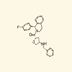 O=C([C@@H]1CC(NCc2ccccc2)CO1)N1CCc2ccccc2[C@@H]1c1ccc(F)cc1